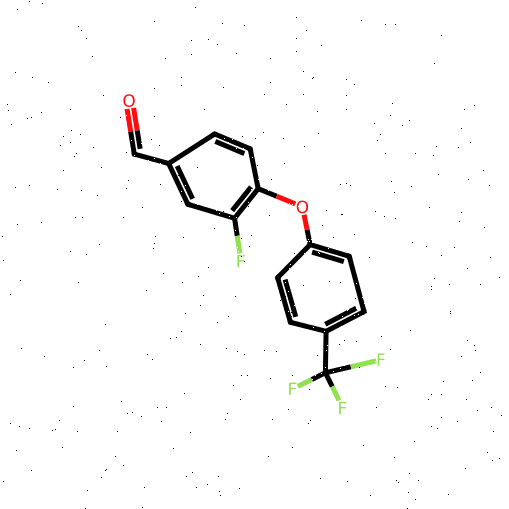 O=Cc1ccc(Oc2ccc(C(F)(F)F)cc2)c(F)c1